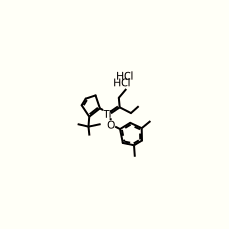 CC[C](CC)=[Ti]([O]c1cc(C)cc(C)c1)[C]1=C(C(C)(C)C)C=CC1.Cl.Cl